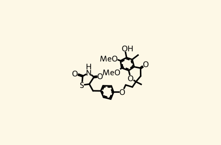 COc1c(O)c(C)c2c(c1OC)OC(C)(CCOc1ccc(CC3SC(=O)NC3=O)cc1)CC2=O